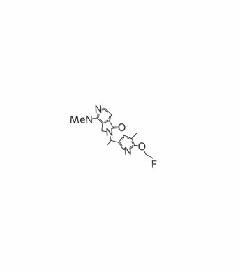 CNc1nccc2c1CN(C(C)c1cnc(OCCF)c(C)c1)C2=O